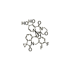 O=C1C2=C(O)C(O)C=CN2N([C@H]2c3ccc(F)c(F)c3CN3C(=O)C4(CC4)c4cccc2c43)[C@@H]2COCCN12